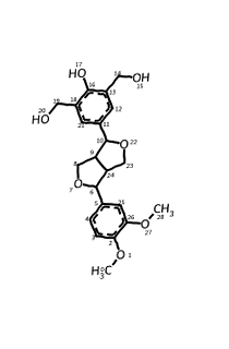 COc1ccc(C2OCC3C(c4cc(CO)c(O)c(CO)c4)OCC23)cc1OC